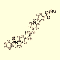 CC(C)(C)OC(=O)c1ccc(CN2CCC(CNC3CC3c3ccc4c(c3)CCN4[S+]([O-])c3ccccc3)CC2)cc1